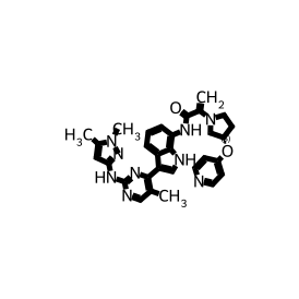 C=C(C(=O)Nc1cccc2c(-c3nc(Nc4cc(C)n(C)n4)ncc3C)c[nH]c12)N1CC[C@H](Oc2ccncc2)C1